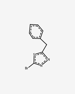 Brc1nnc(Cc2ccccc2)s1